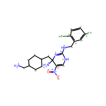 NCC1CCC(CC2(N)N=C(NCc3cc(F)ccc3F)NC=C2[N+](=O)[O-])CC1